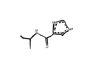 CC(C)NC(=O)c1c[nH]cn1